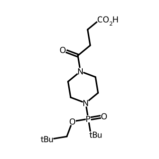 CC(C)(C)COP(=O)(N1CCN(C(=O)CCC(=O)O)CC1)C(C)(C)C